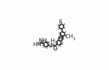 Cc1cc(-c2ccc(F)cc2)cc2c1C1OC2c2cc(C(=O)NCc3ccc(C(=N)N)cc3)ccc21